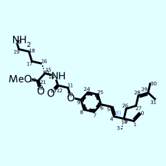 C=C[C@@](C)(/C=C/c1ccc(OCC(=O)N[C@@H](CCCCN)C(=O)OC)cc1)CCC=C(C)C